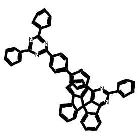 c1ccc(-c2nc(-c3ccccc3)nc(-c3ccc(-c4ccc(-c5nc(-c6ccccc6)nc6c5C5(c7ccccc7-c7ccccc75)c5ccccc5-6)cc4)cc3)n2)cc1